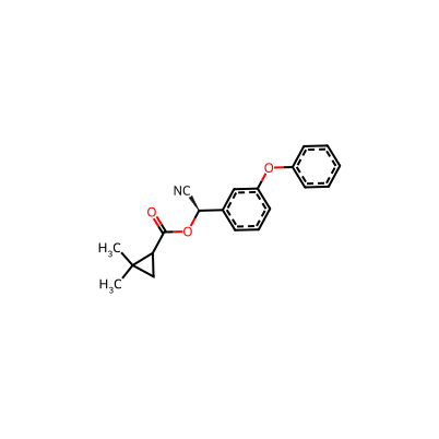 CC1(C)CC1C(=O)O[C@@H](C#N)c1cccc(Oc2ccccc2)c1